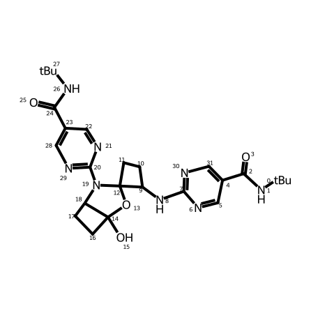 CC(C)(C)NC(=O)c1cnc(NC2CCC23OC2(O)CCC2N3c2ncc(C(=O)NC(C)(C)C)cn2)nc1